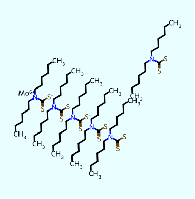 CCCCCCN(CCCCCC)C(=S)[S-].CCCCCCN(CCCCCC)C(=S)[S-].CCCCCCN(CCCCCC)C(=S)[S-].CCCCCCN(CCCCCC)C(=S)[S-].CCCCCCN(CCCCCC)C(=S)[S-].CCCCCCN(CCCCCC)C(=S)[S-].[Mo+6]